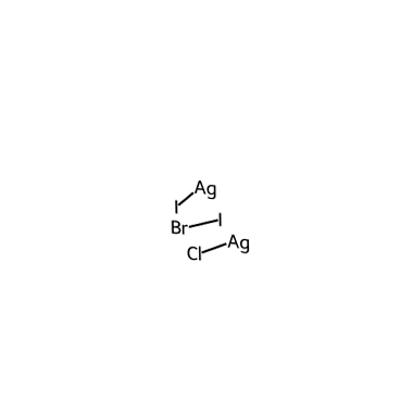 BrI.[Ag][I].[Cl][Ag]